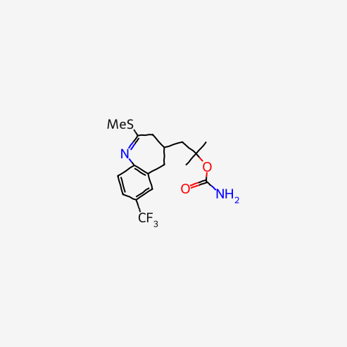 CSC1=Nc2ccc(C(F)(F)F)cc2CC(CC(C)(C)OC(N)=O)C1